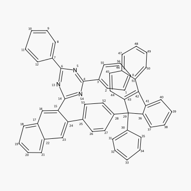 c1ccc(-c2nc(-c3ccccc3)nc(-c3cc4ccccc4cc3-c3ccc(C4(c5ccccc5)c5ccccc5-c5c4ccc4ccccc54)cc3)n2)cc1